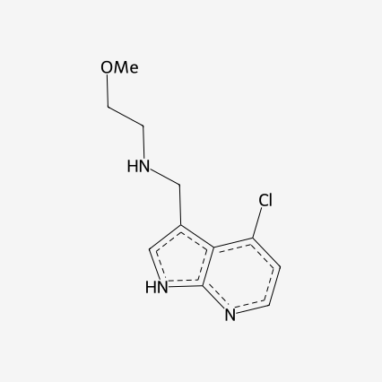 COCCNCc1c[nH]c2nccc(Cl)c12